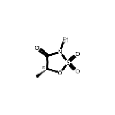 CCN1C(=O)[C@H](C)OS1(=O)=O